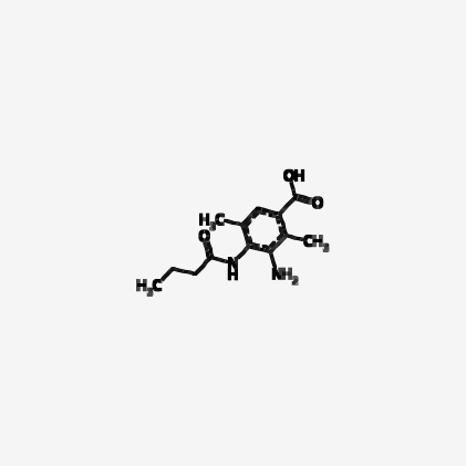 CCCC(=O)Nc1c(C)cc(C(=O)O)c(C)c1N